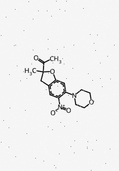 CC(=O)C1(C)Cc2cc([N+](=O)[O-])c(N3CCOCC3)cc2O1